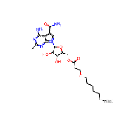 CCCCCCCCCCCCCCCCOCCC(=O)OCC1OC(n2cc(C(N)=O)c3c(N)nc(C)nc32)C(O)C1O